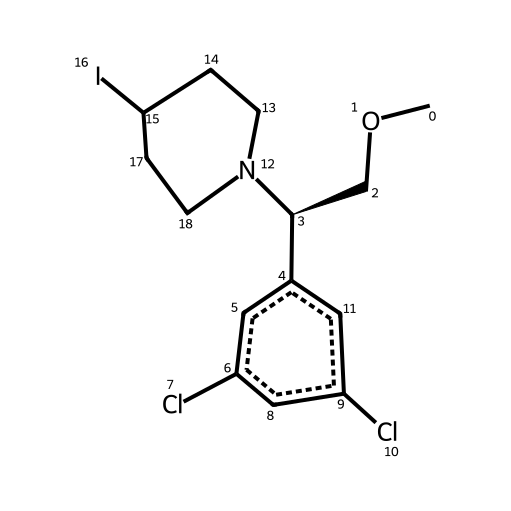 COC[C@@H](c1cc(Cl)cc(Cl)c1)N1CCC(I)CC1